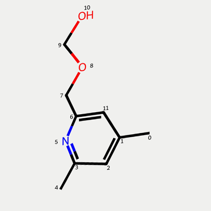 Cc1cc(C)nc(COCO)c1